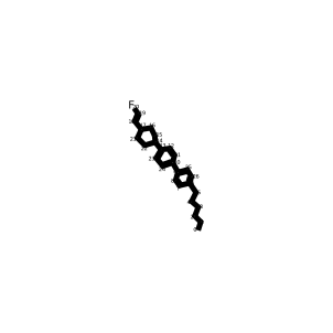 CCCCCCc1ccc(-c2ccc(C3CCC(/C=C/F)CC3)cc2)cc1